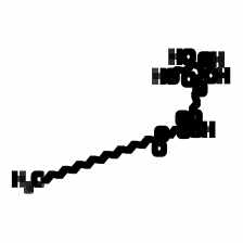 CCCCCCCCCCCCCCCCCC(=O)OCCOP(=O)(O)OCCCOC1OC(CO)C(O)C(O)C1O